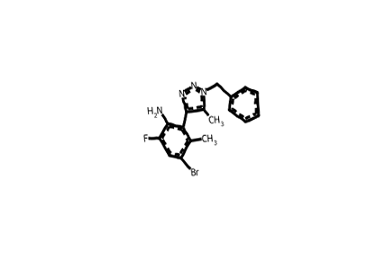 Cc1c(Br)cc(F)c(N)c1-c1nnn(Cc2ccccc2)c1C